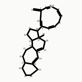 C=C1/C=N\C=C/C/C=C\C(C2CCC3C4CCC5CCCCC5=CC4=CCC23C)=C/1